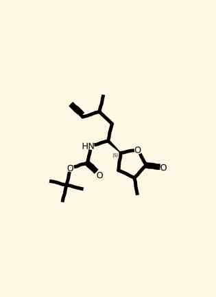 C=CC(C)CC(NC(=O)OC(C)(C)C)[C@@H]1CC(C)C(=O)O1